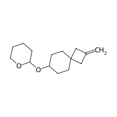 C=C1CC2(CCC(OC3CCCCO3)CC2)C1